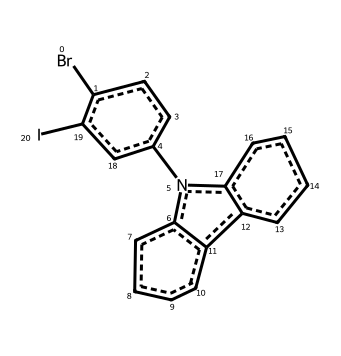 Brc1ccc(-n2c3ccccc3c3ccccc32)cc1I